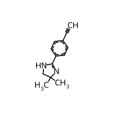 C#Cc1ccc(C2=NC(C)(C)CN2)cc1